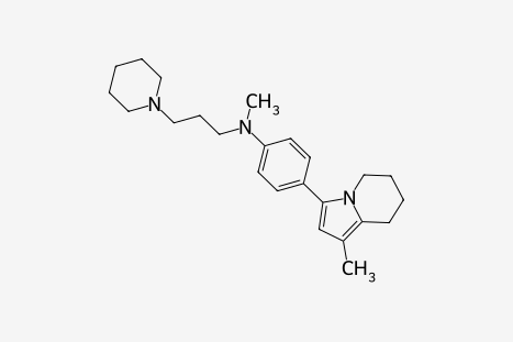 Cc1cc(-c2ccc(N(C)CCCN3CCCCC3)cc2)n2c1CCCC2